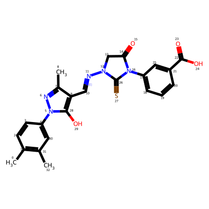 Cc1ccc(-n2nc(C)c(/C=N/N3CC(=O)N(c4cccc(C(=O)O)c4)C3=S)c2O)cc1C